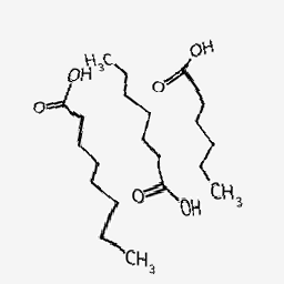 CCCCCC(=O)O.CCCCCCC(=O)O.CCCCCCCC(=O)O